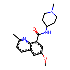 COc1cc(C(=O)NC2CCN(C)CC2)c2nc(C)ccc2c1